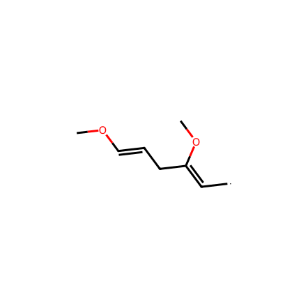 [CH2]C=C(CC=COC)OC